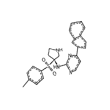 Cc1ccc(S(=O)(=O)[C@]2(Nc3nccc(-c4ccc5ccccc5c4)n3)CCNC2)cc1